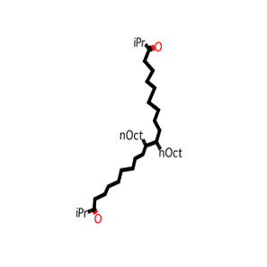 CCCCCCCCC(CCCCCCCCC(=O)C(C)C)C(CCCCCCCC)CCCCCCCCC(=O)C(C)C